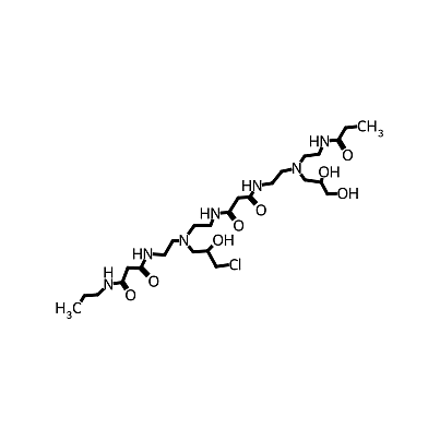 CCCNC(=O)CC(=O)NCCN(CCNC(=O)CC(=O)NCCN(CCNC(=O)CC)CC(O)CO)CC(O)CCl